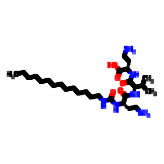 CCCCCCCCCCCCCCNC(=O)N[C@@H](CCN)C(=O)N[C@H](C(=O)N[C@@H](CCN)C(=O)O)C(C)C